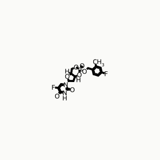 Cc1cc(F)ccc1COP1(=O)OC[C@H]2O[C@@H](n3cc(F)c(=O)[nH]c3=O)C[C@@H]2O1